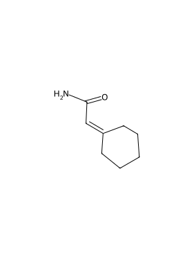 NC(=O)C=C1CCCCC1